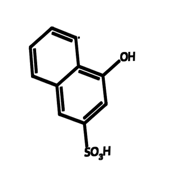 O=S(=O)(O)c1cc(O)c2[c]cccc2c1